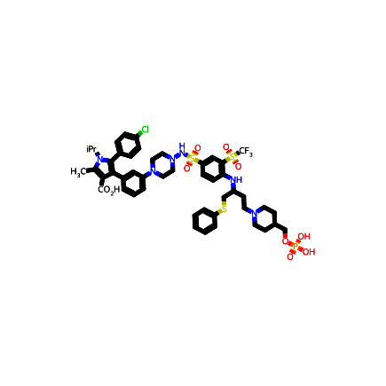 Cc1c(C(=O)O)c(-c2cccc(N3CCN(NS(=O)(=O)c4ccc(NC(CCN5CCC(COP(=O)(O)O)CC5)CSc5ccccc5)c(S(=O)(=O)C(F)(F)F)c4)CC3)c2)c(-c2ccc(Cl)cc2)n1C(C)C